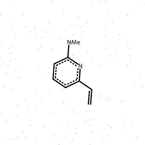 C=Cc1cccc(NC)n1